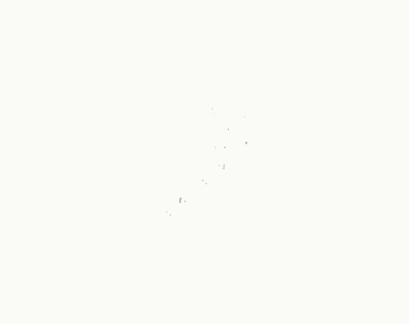 C[C@H](CCC(=O)NC1CCCCC1)C1CCC2C3C(CC[C@@]21C)[C@@]1(C)CC[C@H](NCCCNCCCCNCCCN)CC1C[C@H]3O